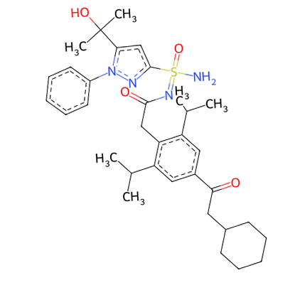 CC(C)c1cc(C(=O)CC2CCCCC2)cc(C(C)C)c1CC(=O)N=S(N)(=O)c1cc(C(C)(C)O)n(-c2ccccc2)n1